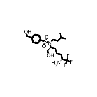 CC(C)CCN([C@H](CO)CCC[C@@H](N)C(F)(F)F)S(=O)(=O)c1ccc(CO)cc1